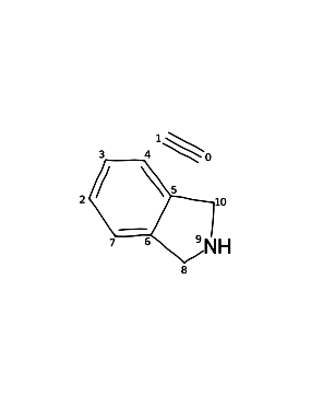 C#C.c1ccc2c(c1)CNC2